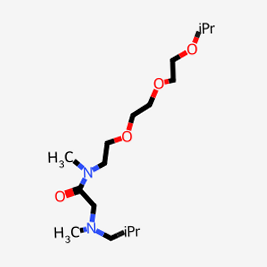 CC(C)CN(C)CC(=O)N(C)CCOCCOCCOC(C)C